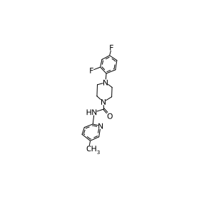 Cc1ccc(NC(=O)N2CCN(c3ccc(F)cc3F)CC2)nc1